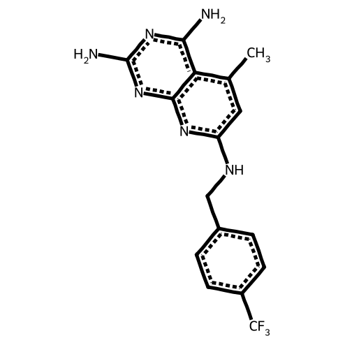 Cc1cc(NCc2ccc(C(F)(F)F)cc2)nc2nc(N)nc(N)c12